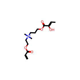 C=CC(=O)OCC[N+](C)(C)CCCOC(=O)C(O)=CC